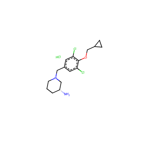 Cl.N[C@@H]1CCCN(Cc2cc(Cl)c(OCC3CC3)c(Cl)c2)C1